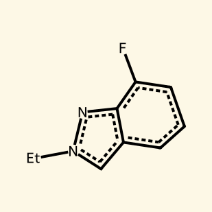 CCn1cc2cccc(F)c2n1